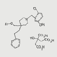 CCOCC1(CCc2ccccc2)CCN(Cc2cc(O)ccc2Cl)CC1.O=C(O)CC(O)(CC(=O)O)C(=O)O